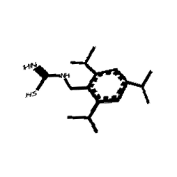 CC(C)c1cc(C(C)C)c(CNC(=N)S)c(C(C)C)c1